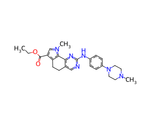 CCOC(=O)c1cn(C)c2c1CCc1cnc(Nc3ccc(N4CCN(C)CC4)cc3)nc1-2